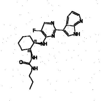 CCCNC(=O)N[C@H]1CCCC[C@H]1Nc1nc(-c2c[nH]c3ncccc23)ncc1F